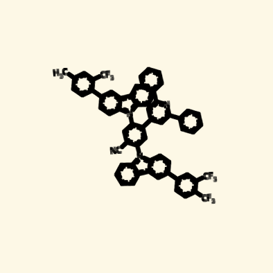 Cc1ccc(-c2ccc3c(c2)c2ccccc2n3-c2cc(C#N)c(-n3c4ccccc4c4cc(-c5ccc(C(F)(F)F)c(C(F)(F)F)c5)ccc43)cc2-c2cc(-c3ccccc3)nc(-c3ccccc3)c2)c(C(F)(F)F)c1